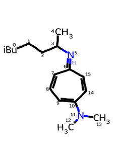 CCC(C)CCC(C)/N=c1\cccc(N(C)C)cc1